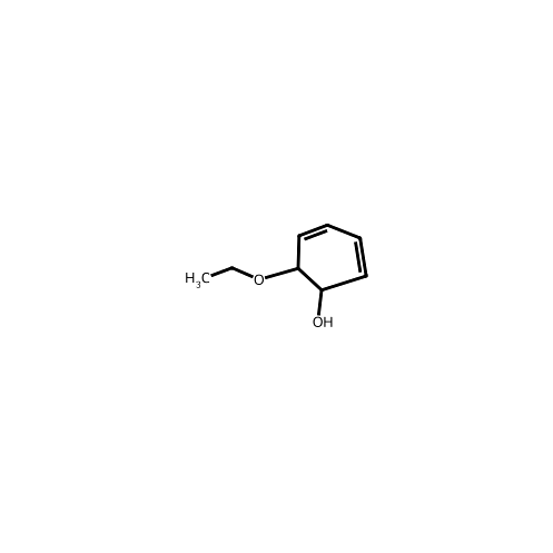 CCOC1C=CC=CC1O